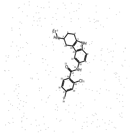 CCNC1CCc2[nH]c3ccc(NC(=O)c4ccc(F)cc4Cl)cc3c2C1